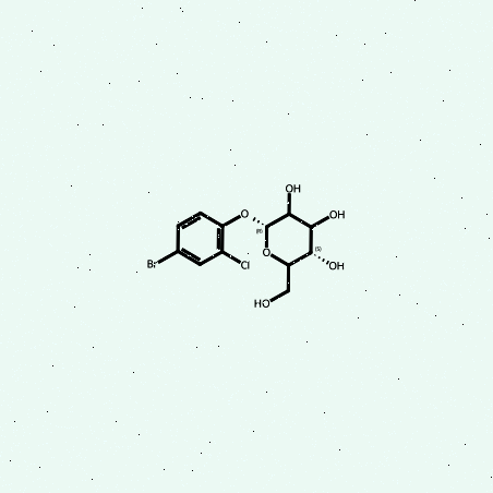 OCC1O[C@H](Oc2ccc(Br)cc2Cl)C(O)C(O)[C@@H]1O